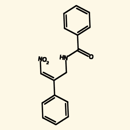 O=C(NCC(=C[N+](=O)[O-])c1ccccc1)c1ccccc1